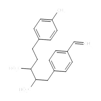 C=Cc1ccc(CC(C(=O)O)C(CCc2ccc(C)cc2)C(=O)O)cc1